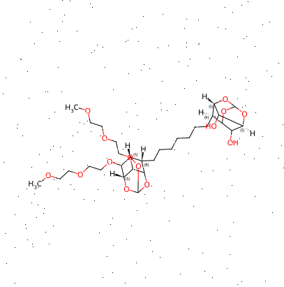 COCCOCCOC1C2OC3O[C@@H]1C(OCCOCCOC)[C@@H](O3)[C@@H]2CCCCCCC[C@@H]1C2OC3O[C@@H](C2O)C(O)[C@H]1O3